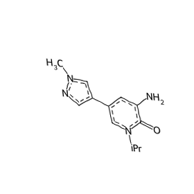 CC(C)n1cc(-c2cnn(C)c2)cc(N)c1=O